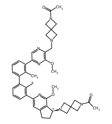 COc1nc(-c2cccc(-c3cccc(-c4cc5c(c(OC)n4)[C@@H](N4CC6(CN(C(C)=O)C6)C4)CC5)c3F)c2C)cnc1CN1CC2(C1)CN(C(C)=O)C2